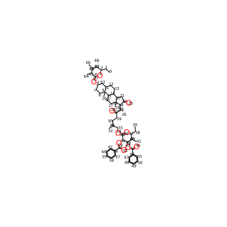 CCC1O[C@@H](OC2CCC3(C)C(CCC4C3CCC3(C)C4CC(=O)C3[C@H](C)C(=O)CC[C@H](C)CO[C@@H]3OC(CC)[C@@H](C)[C@H](OC(=O)c4ccccc4)C3OC(=O)c3ccccc3)C2)C(C)[C@@H](C)[C@@H]1C